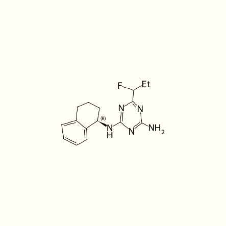 CCC(F)c1nc(N)nc(N[C@@H]2CCCc3ccccc32)n1